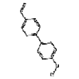 C=Cc1ccc(-c2ccc(OCC)cc2)cc1